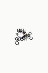 C[C@H]1C/C=C(/OC(=O)c2ccccc2)[C@H](O)[C@]2(O)CC(=O)[C@@H](C=C(COC(=O)c3ccccc3)[C@H]2O)[C@H]2[C@@H](C1)C2(C)C